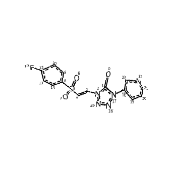 O=c1n(C=CS(=O)(=O)c2ccc(F)cc2)nnn1-c1cccnc1